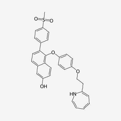 CS(=O)(=O)c1ccc(-c2ccc3cc(O)ccc3c2Oc2ccc(OCCC3=CC=CC=CN3)cc2)cc1